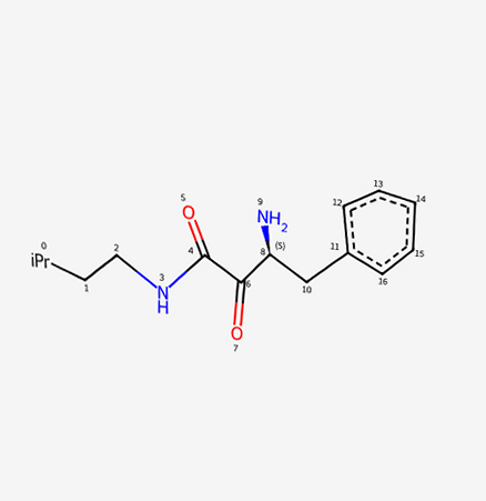 CC(C)CCNC(=O)C(=O)[C@@H](N)Cc1ccccc1